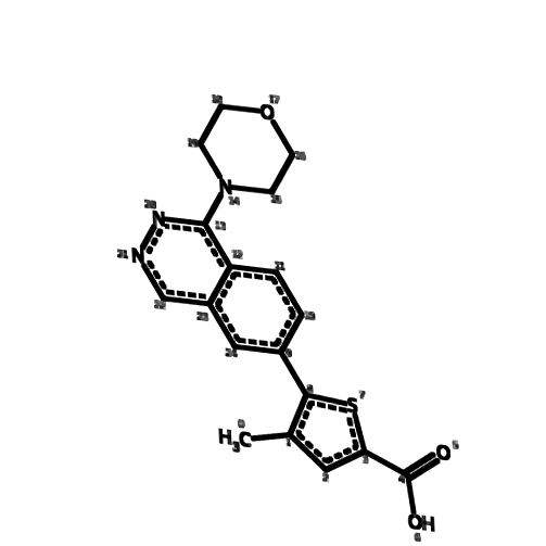 Cc1cc(C(=O)O)sc1-c1ccc2c(N3CCOCC3)nncc2c1